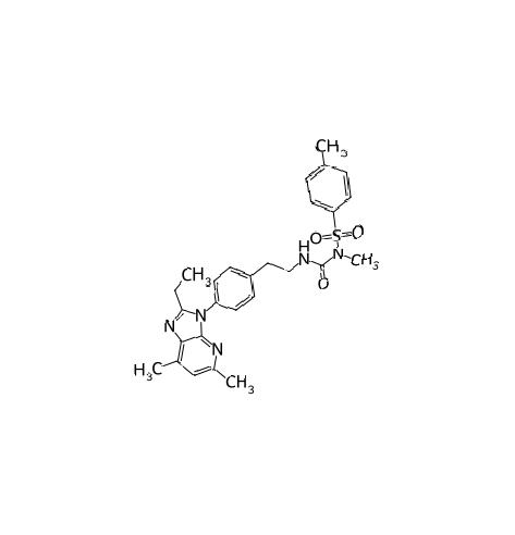 CCc1nc2c(C)cc(C)nc2n1-c1ccc(CCNC(=O)N(C)S(=O)(=O)c2ccc(C)cc2)cc1